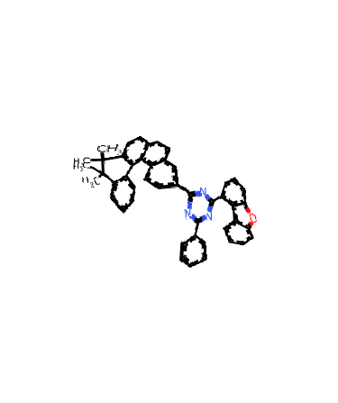 CC1(C)c2ccccc2-c2c(ccc3ccc4cc(-c5nc(-c6ccccc6)nc(-c6cccc7oc8ccccc8c67)n5)ccc4c23)C1(C)C